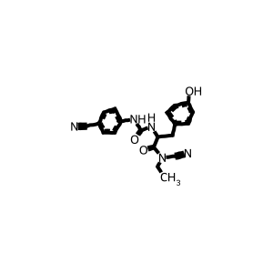 CCN(C#N)C(=O)C(Cc1ccc(O)cc1)NC(=O)Nc1ccc(C#N)cc1